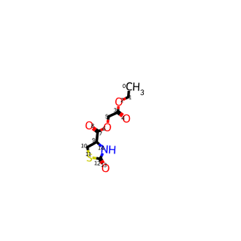 CCOC(=O)COC(=O)C1CSC(=O)N1